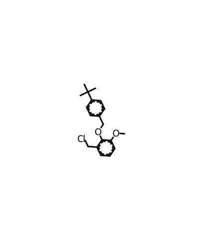 COc1cccc(CCl)c1OCc1ccc(C(C)(C)C)cc1